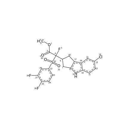 COC(=O)C(F)(C1Cc2[nH]c3ccc(Cl)cc3c2C1)S(=O)(=O)c1ccc(F)c(F)c1